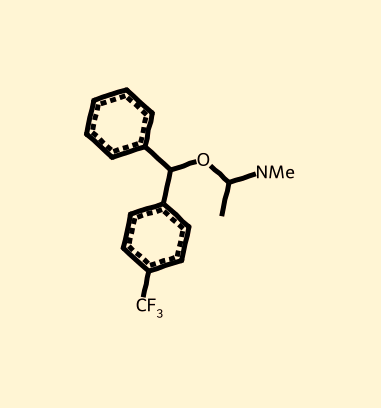 CNC(C)OC(c1ccccc1)c1ccc(C(F)(F)F)cc1